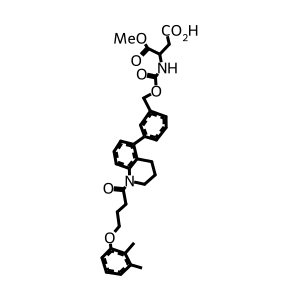 COC(=O)C(CC(=O)O)NC(=O)OCc1cccc(-c2cccc3c2CCCN3C(=O)CCCOc2cccc(C)c2C)c1